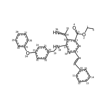 CCOC(=O)c1cc(/C=C/c2ccccc2)nc(NCc2ccc(Oc3ccccc3)cc2)c1C(C)=N